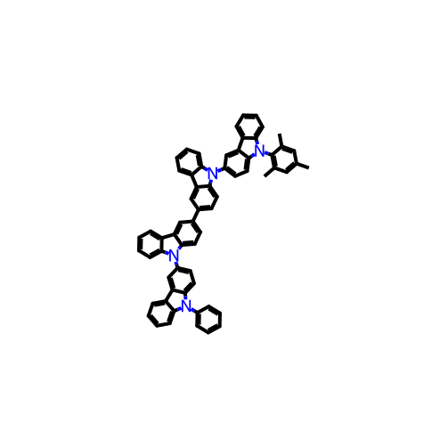 Cc1cc(C)c(-n2c3ccccc3c3cc(-n4c5ccccc5c5cc(-c6ccc7c(c6)c6ccccc6n7-c6ccc7c(c6)c6ccccc6n7-c6ccccc6)ccc54)ccc32)c(C)c1